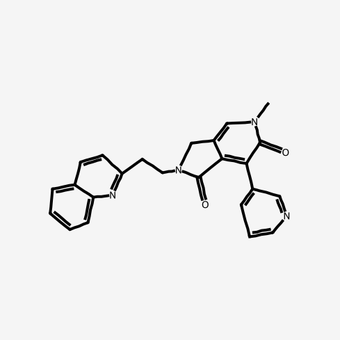 Cn1cc2c(c(-c3cccnc3)c1=O)C(=O)N(CCc1ccc3ccccc3n1)C2